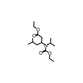 CCOC(=O)CC(CC(C)C)N(C(=O)OCC)C(C)C